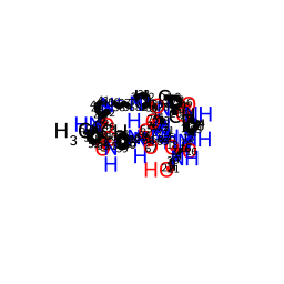 Cc1ccc(S(=O)(=O)Nc2ccc(NNC(=O)C(=O)NCCO)cc2)c(C)c1NOCc1ccc[n+](CCCC[n+]2cccc(C(=O)Nc3c(C)ccc(S(=O)(=O)Nc4ccc(NNC(=O)C(=O)NCCCN5CCOCC5)cc4)c3C)c2)c1